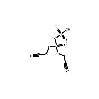 C#CCOP(=O)(OCC#C)OS(=O)(=O)O